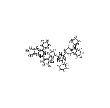 c1ccc(-c2nc(-c3ccc4c(c3)c3ccccc3n4-c3ccccc3)nc(-c3cccc4c3sc3cccc(-c5nc(-c6ccccc6)c6sc7ccccc7c6n5)c34)n2)cc1